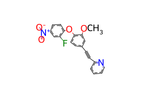 COc1cc(C#Cc2ccccn2)ccc1Oc1ccc([N+](=O)[O-])cc1F